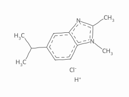 Cc1nc2cc(C(C)C)ccc2n1C.[Cl-].[H+]